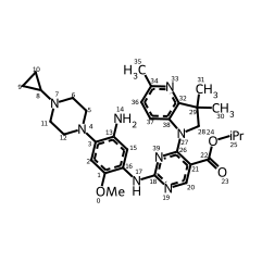 COc1cc(N2CCN(C3CC3)CC2)c(N)cc1Nc1ncc(C(=O)OC(C)C)c(N2CC(C)(C)c3nc(C)ccc32)n1